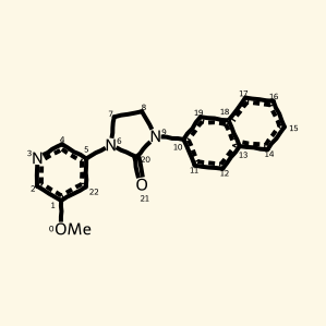 COc1cncc(N2CCN(c3ccc4ccccc4c3)C2=O)c1